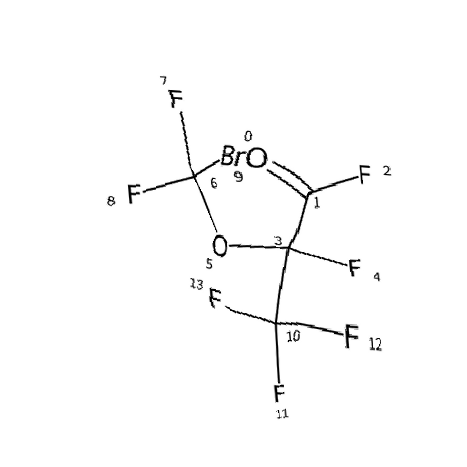 O=C(F)C(F)(OC(F)(F)Br)C(F)(F)F